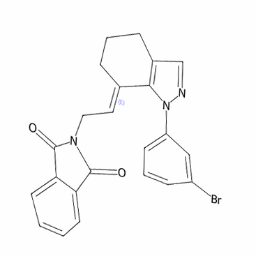 O=C1c2ccccc2C(=O)N1C/C=C1\CCCc2cnn(-c3cccc(Br)c3)c21